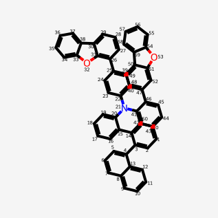 c1ccc(-c2cccc3ccccc23)c(-c2ccccc2N(c2ccc(-c3cccc4c3oc3ccccc34)cc2)c2ccccc2-c2ccc3c(c2)oc2ccccc23)c1